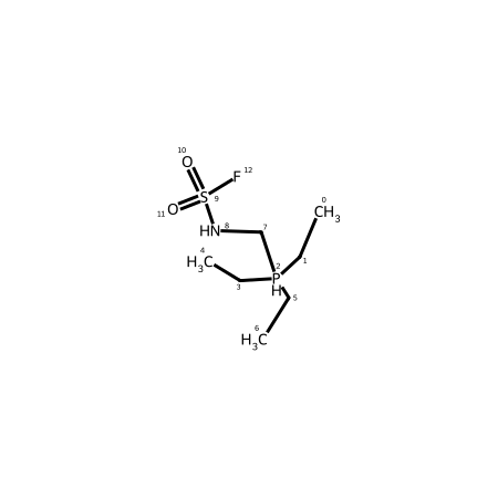 CC[PH](CC)(CC)CNS(=O)(=O)F